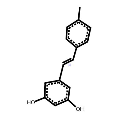 Cc1ccc(/C=C/c2cc(O)cc(O)c2)cc1